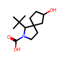 CC(C)(C)C1N(C(=O)O)CCC12CCC(O)C2